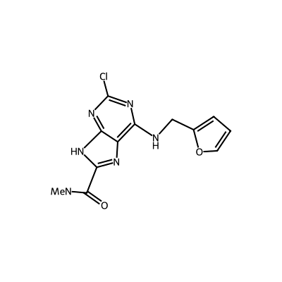 CNC(=O)c1nc2c(NCc3ccco3)nc(Cl)nc2[nH]1